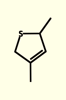 CC1=CC(C)SC1